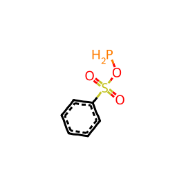 O=S(=O)(OP)c1ccccc1